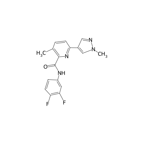 Cc1ccc(-c2cnn(C)c2)nc1C(=O)Nc1ccc(F)c(F)c1